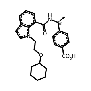 C[C@H](NC(=O)c1cccc2ccn(CCOC3CCCCC3)c12)c1ccc(C(=O)O)cc1